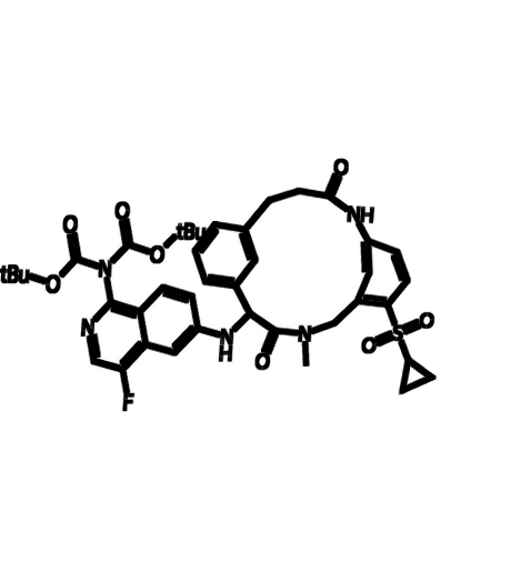 CN1Cc2cc(ccc2S(=O)(=O)C2CC2)NC(=O)CCc2cccc(c2)C(Nc2ccc3c(N(C(=O)OC(C)(C)C)C(=O)OC(C)(C)C)ncc(F)c3c2)C1=O